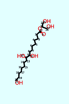 O=C(CCCCCCCC(O)C(O)CCCCCCCCO)OC(CO)CO